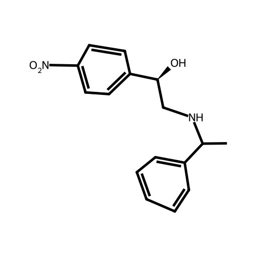 CC(NC[C@H](O)c1ccc([N+](=O)[O-])cc1)c1ccccc1